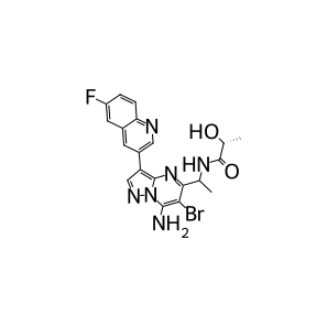 CC(NC(=O)[C@@H](C)O)c1nc2c(-c3cnc4ccc(F)cc4c3)cnn2c(N)c1Br